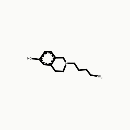 N#Cc1ccc2c(c1)CCN(CCCCN)C2